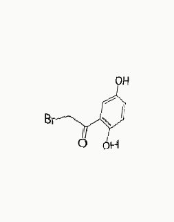 O=C(CBr)c1cc(O)ccc1O